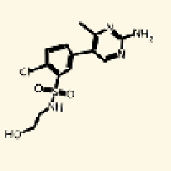 Cc1nc(N)ncc1-c1ccc(Cl)c(S(=O)(=O)NCCO)c1